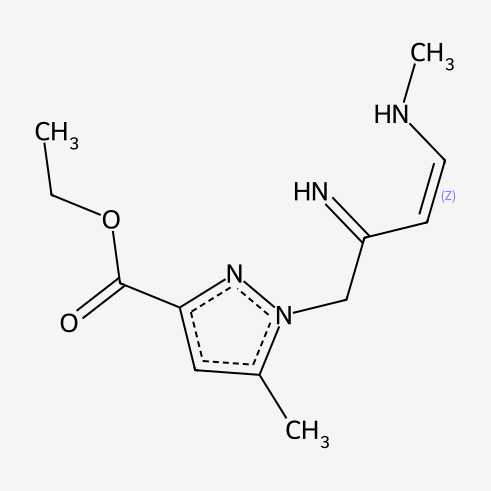 CCOC(=O)c1cc(C)n(CC(=N)/C=C\NC)n1